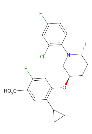 C[C@@H]1CC[C@@H](Oc2cc(F)c(C(=O)O)cc2C2CC2)CN1c1ccc(F)cc1Cl